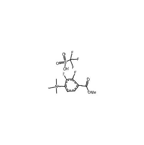 COC(=O)c1ccc([N+](C)(C)C)c(F)c1F.O=S(=O)(O)C(F)(F)F